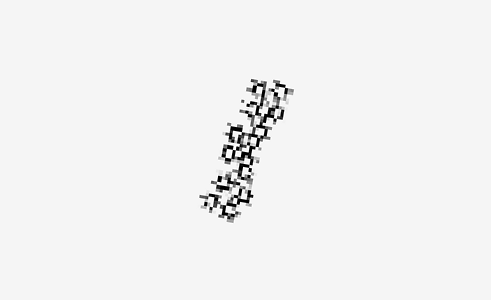 c1ccc(N(c2ccc3cc4c(cc3c2)C2(c3ccccc3-c3ccccc32)c2cc3cc(N(c5ccccc5)c5cccc6c5oc5c(C7CCCCC7)cccc56)ccc3cc2-4)c2cccc3c2oc2c(C4CCCCC4)cccc23)cc1